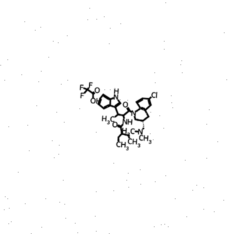 CCC(CC)C(=O)NC(C(=O)N1C[C@@H](CN(C)C)Cc2cc(Cl)ccc21)C(C)c1c[nH]c2ccccc12.O=C(O)C(F)(F)F